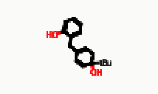 CC(C)(C)C1(O)C=CC(Cc2ccccc2O)=CC1